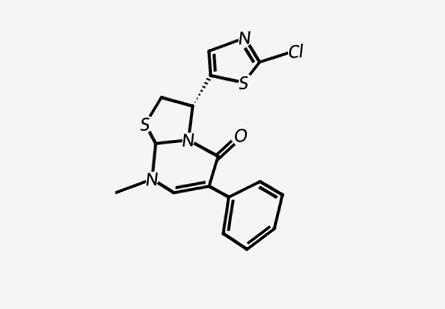 CN1C=C(c2ccccc2)C(=O)N2C1SC[C@@H]2c1cnc(Cl)s1